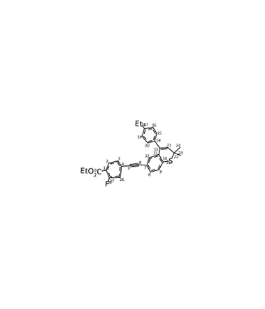 CCOC(=O)c1ccc(C#Cc2ccc3c(c2)C(c2ccc(CC)cc2)=CC(C)(C)S3)cc1F